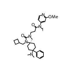 COc1cc(N(I)C(=O)CCN2C[C@]3(CC[C@](c4ccccc4)(N(C)C)CC3)N(CC3CCC3)C2=O)ccn1